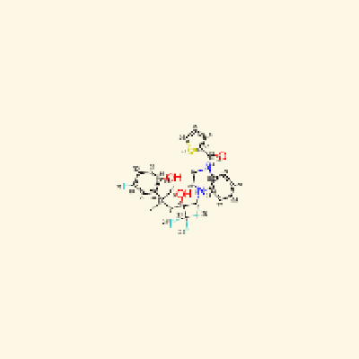 CC(C)(CC(O)(CN1CCN(C(=O)c2cccs2)c2ccccc21)C(F)(F)F)c1cc(F)ccc1O